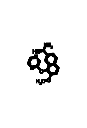 COc1ccc2ccc(C(=N)N)cc2c1Oc1cnccn1